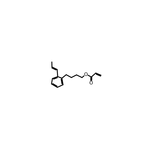 C=CC(=O)OCCCCc1ccccc1C=CC